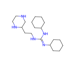 C1CCC(N=C(NCCC2CNCCN2)NC2CCCCC2)CC1